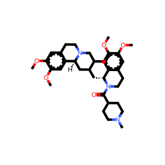 CCC1CN2CCc3cc(OC)c(OC)cc3[C@@H]2CC1C[C@@H]1c2cc(OC)c(OC)cc2CCN1C(=O)C1CCN(C)CC1